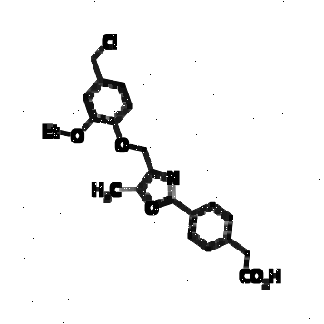 CCOc1cc(CCl)ccc1OCc1nc(-c2ccc(CC(=O)O)cc2)oc1C